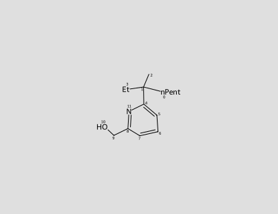 CCCCCC(C)(CC)c1cccc(CO)n1